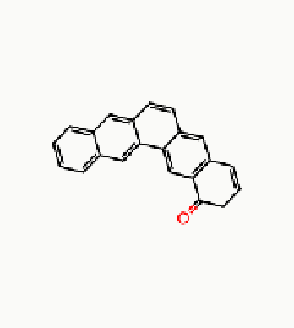 O=C1CC=Cc2cc3ccc4cc5ccccc5cc4c3cc21